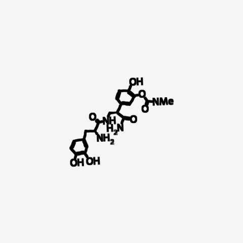 CNC(=O)Oc1cc([C@H](CNC(=O)[C@@H](N)Cc2ccc(O)c(O)c2)C(N)=O)ccc1O